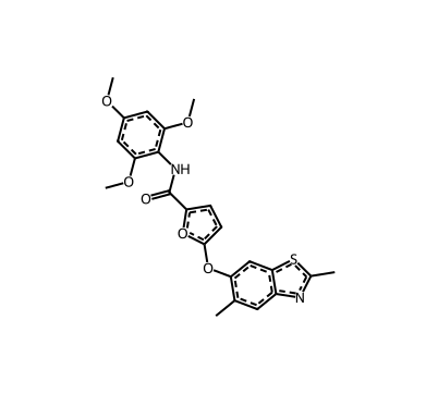 COc1cc(OC)c(NC(=O)c2ccc(Oc3cc4sc(C)nc4cc3C)o2)c(OC)c1